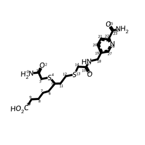 NC(=O)CSC(CCCCC(=O)O)CCSCC(=O)NCc1ccc(C(N)=O)nc1